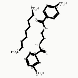 O=C(O)CCCCCCCC(=O)O.O=C(O)c1ccc(C(=O)OCCOC(=O)c2cccc(C(=O)O)c2)cc1